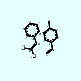 C=Cc1ccc(C)cc1.ClC(Cl)=Cc1ccccc1